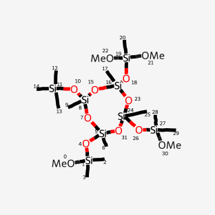 CO[Si](C)(C)O[Si]1(C)O[Si](C)(O[Si](C)(C)C)O[Si](C)(O[Si](C)(OC)OC)O[Si](C)(O[Si](C)(C)OC)O1